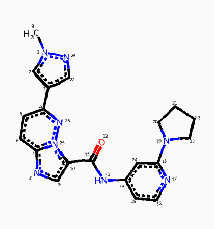 Cn1cc(-c2ccc3ncc(C(=O)Nc4ccnc(N5CCCC5)c4)n3n2)cn1